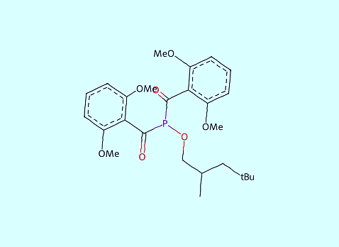 COc1cccc(OC)c1C(=O)P(OCC(C)CC(C)(C)C)C(=O)c1c(OC)cccc1OC